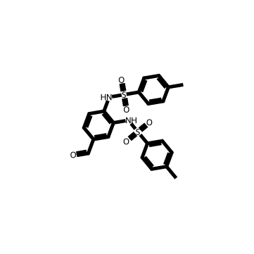 Cc1ccc(S(=O)(=O)Nc2ccc(C=O)cc2NS(=O)(=O)c2ccc(C)cc2)cc1